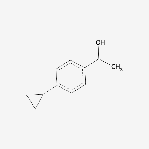 CC(O)c1ccc(C2CC2)cc1